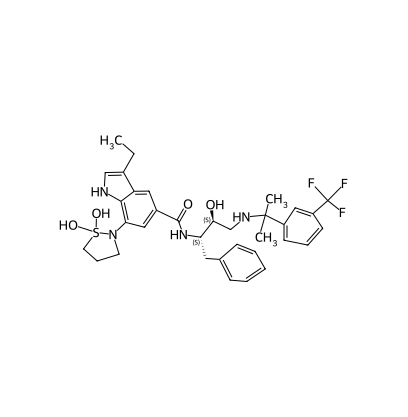 CCc1c[nH]c2c(N3CCCS3(O)O)cc(C(=O)N[C@@H](Cc3ccccc3)[C@@H](O)CNC(C)(C)c3cccc(C(F)(F)F)c3)cc12